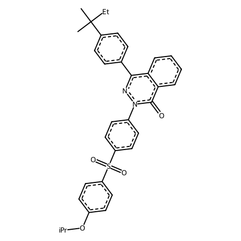 CCC(C)(C)c1ccc(-c2nn(-c3ccc(S(=O)(=O)c4ccc(OC(C)C)cc4)cc3)c(=O)c3ccccc23)cc1